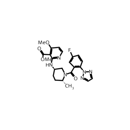 COC(=O)c1c(OC)ccnc1N[C@@H]1CC[C@@H](C)N(C(=O)c2cc(F)ccc2-n2nccn2)C1